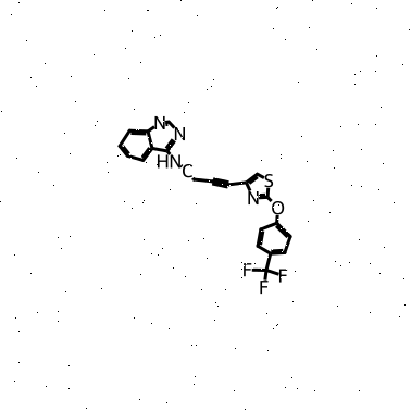 FC(F)(F)c1ccc(Oc2nc(C#CCCNc3ncnc4ccccc34)cs2)cc1